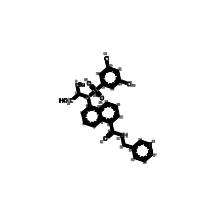 CCCCC(C(=O)O)N(c1cccc2c(C(=O)NCc3cccnc3)cccc12)S(=O)(=O)c1cc(Cl)cc(Cl)c1